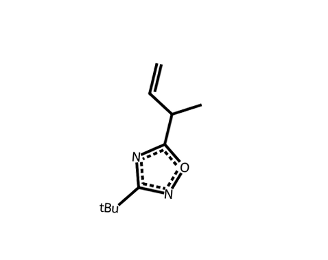 C=CC(C)c1nc(C(C)(C)C)no1